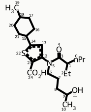 CCCC(CC)C(=O)N(CCCC(C)O)c1cc(C2CCC(C)CC2)sc1C(=O)O